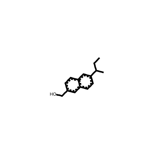 CCC(C)c1ccc2cc(CO)ccc2c1